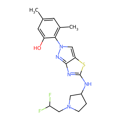 Cc1cc(C)c(-n2cc3sc(NC4CCN(CC(F)F)C4)nc3n2)c(O)c1